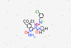 CCOC(=O)Cc1ccc2c(NC(=O)N3[C@@H]4C[C@@H]4C[C@H]3C(=O)N(F)Cc3cccc(Cl)c3)cn(C(N)=O)c2c1